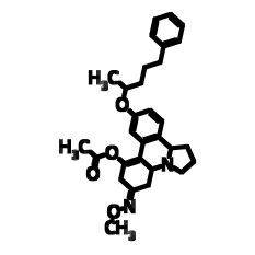 CON=C1CC(OC(C)=O)=C2c3cc(OC(C)CCCc4ccccc4)ccc3C3CCCN3C2C1